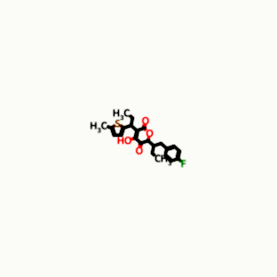 CCC(C1=C(O)C(=O)C(C(CC)Cc2ccc(F)cc2)OC1=O)c1ccc(C)s1